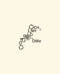 COCCCN(Cc1cc2cccc(C)c2[nH]c1=O)S(=O)(=O)c1ccc(Oc2ccccc2)nc1